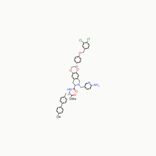 COC(=O)[C@H](Cc1ccc(-c2ccc(C#N)cc2)cc1)NC(=O)C1Cc2cc3c(cc2CN1Cc1ccc(N)nc1)O[C@@H](c1ccc(OCc2ccc(Cl)c(Cl)c2)cc1)CO3